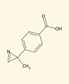 CC1(c2ccc(C(=O)O)cc2)C=N1